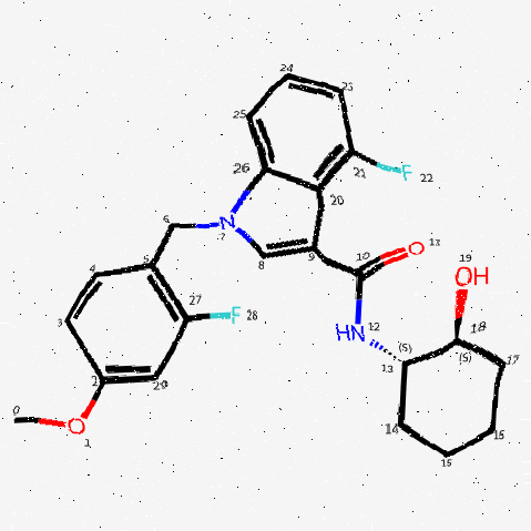 COc1ccc(Cn2cc(C(=O)N[C@H]3CCCC[C@@H]3O)c3c(F)cccc32)c(F)c1